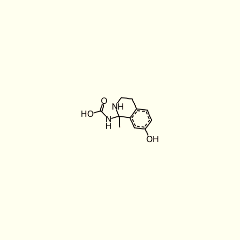 CC1(NC(=O)O)NCCc2ccc(O)cc21